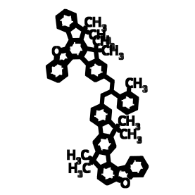 Cc1ccccc1C(Cc1ccc2c(c1)C(C)(C)c1cc3c(cc1-2)C(C)(C)c1ccc2oc4ccccc4c2c1-3)Cc1ccc2c(c1)C(C)(C)c1c3c(c4oc5ccccc5c4c1-2)-c1ccccc1C3(C)C